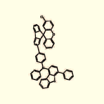 Clc1ccc2c(c1)C1(c3ccccc3O2)c2ccccc2-c2ccc(-c3ccc(N(c4ccccc4)c4ccc(-c5ccccc5)c5sc6ccccc6c45)cc3)cc21